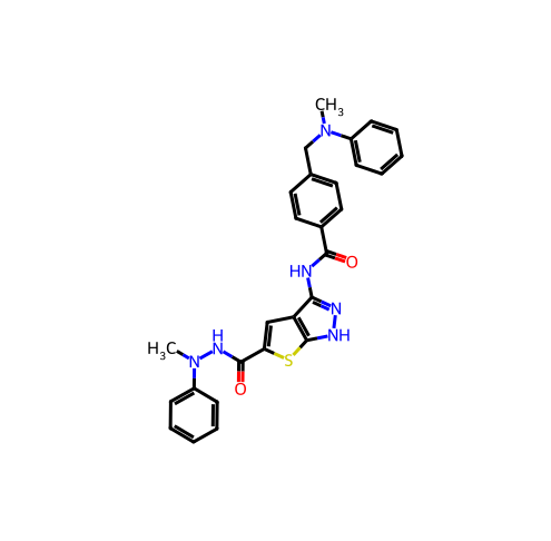 CN(Cc1ccc(C(=O)Nc2n[nH]c3sc(C(=O)NN(C)c4ccccc4)cc23)cc1)c1ccccc1